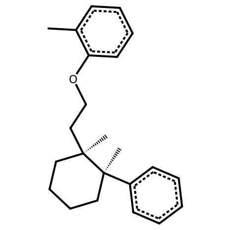 Cc1ccccc1OCC[C@]1(C)CCCC[C@]1(C)c1ccccc1